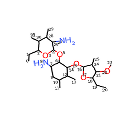 CCC1OC(OC2C(N)CC(C)C(C)C2OC2OC(CC)C(OC)C2C)C(N)C(C)C1C